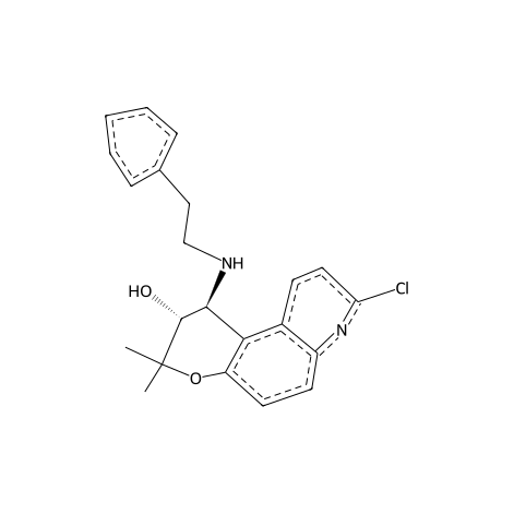 CC1(C)Oc2ccc3nc(Cl)ccc3c2[C@H](NCCc2ccccc2)[C@H]1O